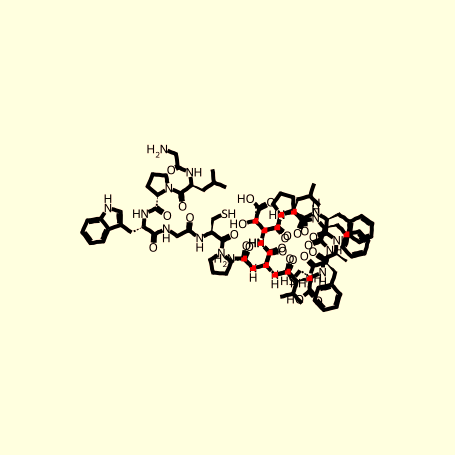 CC(C)C[C@H](NC(=O)[C@H](CC(=O)O)NC(=O)[C@H](CC(N)=O)NC(=O)[C@@H]1CCCN1C(=O)[C@H](CS)NC(=O)CNC(=O)[C@H](Cc1c[nH]c2ccccc12)NC(=O)[C@@H]1CCCN1C(=O)[C@H](CC(C)C)NC(=O)CN)C(=O)N[C@@H](Cc1ccccc1)C(=O)N[C@@H](Cc1ccccc1)C(=O)N[C@H](C(=O)N[C@@H](CC(N)=O)C(=O)N[C@H](C(=O)N1CCC[C@H]1C(=O)N[C@@H](Cc1ccccc1)C(=O)N[C@@H](C)C(=O)N[C@@H](CS)C(=O)O)[C@@H](C)O)C(C)C